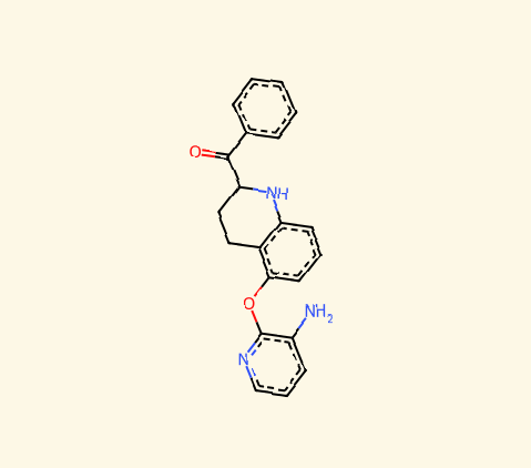 Nc1cccnc1Oc1cccc2c1CCC(C(=O)c1ccccc1)N2